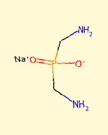 NCP(=O)([O-])CN.[Na+]